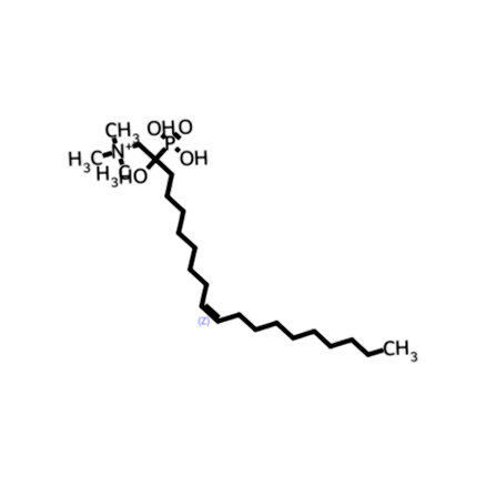 CCCCCCCCC/C=C\CCCCCCCC(O)(C[N+](C)(C)C)P(=O)(O)O